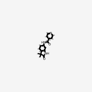 CC1(C)C(=O)Nc2cc(NC(=O)c3ccncc3)ccc21